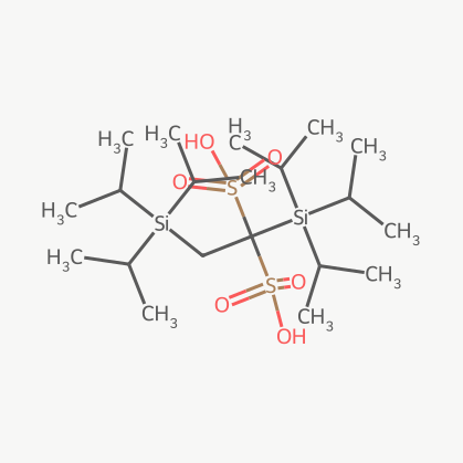 CC(C)[Si](CC([Si](C(C)C)(C(C)C)C(C)C)(S(=O)(=O)O)S(=O)(=O)O)(C(C)C)C(C)C